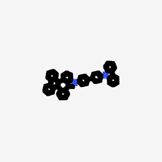 C1=CC(c2ccc(-n3cc4c5c(cccc53)-c3c(c5ccccc5c5ccccc35)-c3ccccc3-4)cc2)CC=C1n1c2ccccc2c2ccccc21